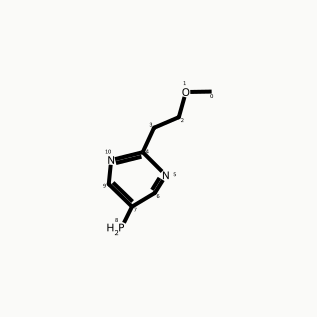 COCCc1ncc(P)cn1